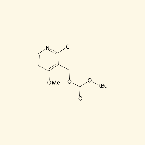 COc1ccnc(Cl)c1COC(=O)OC(C)(C)C